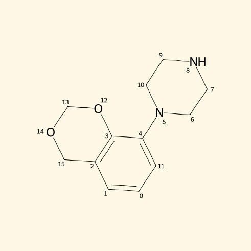 c1cc2c(c(N3CCNCC3)c1)OCOC2